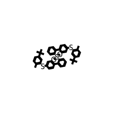 Cc1ccc(C(C)(C)C)cc1Sc1ccc(-c2ccccc2S(=O)(=O)c2ccccc2-c2ccc(Sc3cc(C(C)(C)C)ccc3C)cc2)cc1